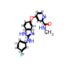 CNC(=O)c1cc(Oc2ccc3[nH]c(Nc4cccc(F)c4)nc3c2)ccn1